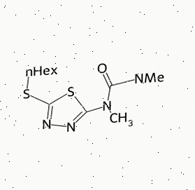 CCCCCCSc1nnc(N(C)C(=O)NC)s1